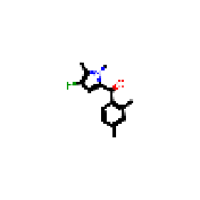 Cc1ccc(C(=O)c2cc(F)c(C)n2C)c(C)c1